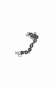 N#Cc1ccc(N2CCC(Oc3ccc(C4CCN(CCC5CCN(c6cccc7c6C(=O)C(C6CCC(=O)NC6=O)C7=O)CC5)CC4)cc3)CC2)cc1Cl